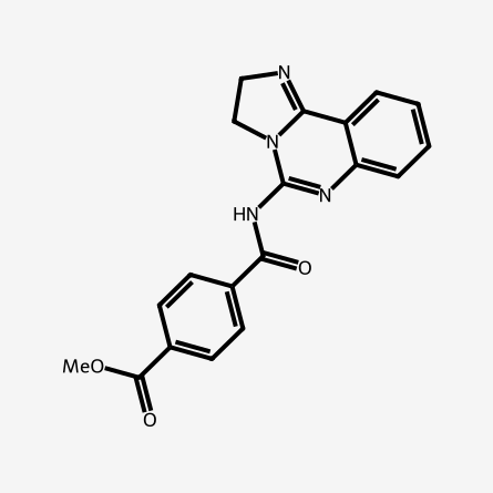 COC(=O)c1ccc(C(=O)NC2=Nc3ccccc3C3=NCCN23)cc1